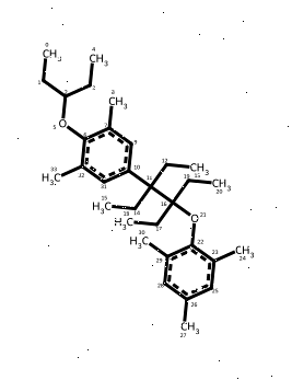 CCC(CC)Oc1c(C)cc(C(CC)(CC)C(CC)(CC)Oc2c(C)cc(C)cc2C)cc1C